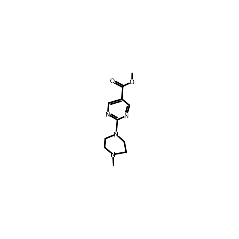 COC(=O)c1cnc(N2CCN(C)CC2)nc1